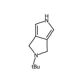 CC(C)(C)N1Cc2c[nH]cc2C1